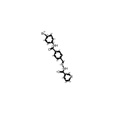 O=C(N/N=C/c1ccc(C(=O)Nc2ccc(Br)cc2)cc1)c1cccnc1